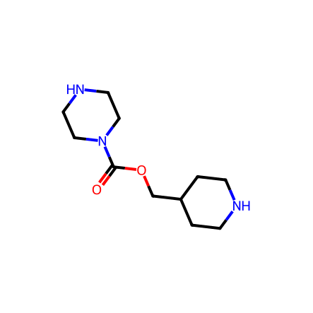 O=C(OCC1CCNCC1)N1CCNCC1